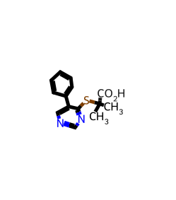 CC(C)(Sc1ncncc1-c1ccccc1)C(=O)O